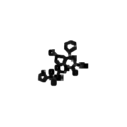 CCC(C)[C@@H]1N=C(c2ccccc2)c2cc(Cl)ccc2N(CC(=O)NS(=O)(=O)c2cccs2)C1=O